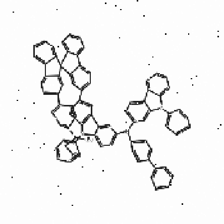 CC(C)(C)CC(c1ccc(-c2ccc3c(c2)C2(c4ccccc4-3)c3ccccc3-c3ccc(-c4ccc5c(c4)c4cc(N(c6ccc(-c7ccccc7)cc6)c6ccc7c8ccccc8n(-c8ccccc8)c7c6)ccc4n5-c4ccccc4)cc32)cc1)C(C)(C)C